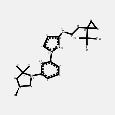 C[C@@H]1CN(c2cccc(-n3ccc(OCCC4(C(F)(F)F)CC4)n3)n2)C(C)(C)C1